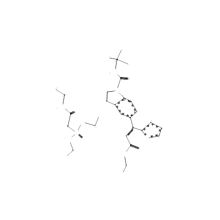 CCOC(=O)C=C(c1ccc2c(c1)CCN2C(=O)OC(C)(C)C)c1cccs1.CCOC(=O)CP(=O)(OCC)OCC